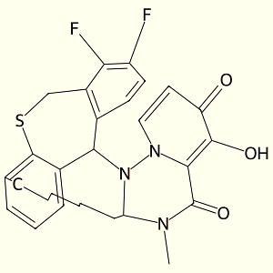 CN1C(=O)c2c(O)c(=O)ccn2N2C3c4ccc(F)c(F)c4CSc4c(cccc43)CCCCCCC12